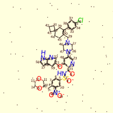 O=C(N[S+]([O-])c1ccc(C[C@H]2COCCO2)c([N+](=O)[O-])c1)c1ncc(N2CCN(CC3=C(c4ccc(Cl)cc4)CC4(CCC4)CC3)CC2)cc1Oc1cnc2[nH]ccc2c1